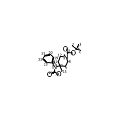 CC(C)(C)OC(=O)N1CCC2(CC1)COC(=O)N2c1ccccc1